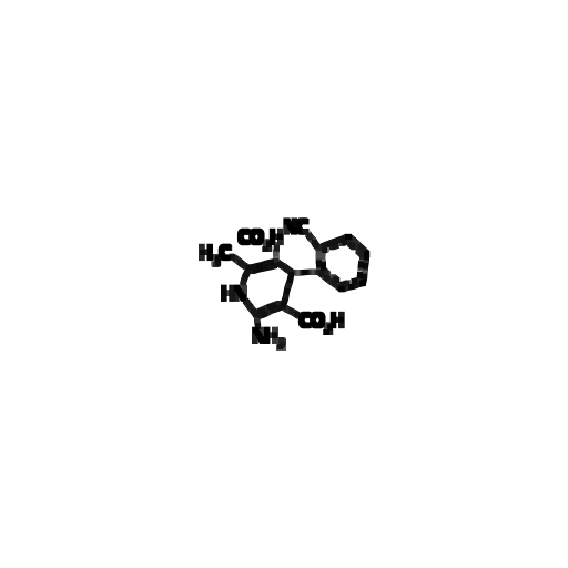 CC1=C(C(=O)O)C(c2ccccc2C#N)C(C(=O)O)=C(N)N1